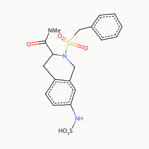 CNC(=O)C1Cc2ccc(NS(=O)(=O)O)cc2CN1S(=O)(=O)Cc1ccccc1